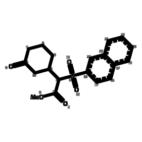 COC(=O)C(C1CCCC(=O)C1)S(=O)(=O)c1ccc2ccccc2c1